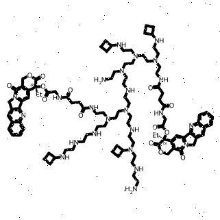 CC[C@]1(OC(=O)CNC(=O)CCC(=O)NCCN(CCNCCNCCNC2CCC2)CCN(CCNCCN(CCN)CCN(CCNC2CCC2)CCN(CCNC(=O)CCC(=O)NCC(=O)O[C@]2(CC)C(=O)OCc3c2cc2n(c3=O)Cc3cc4ccccc4nc3-2)CCNC2CCC2)CCNCCN(CCNCCN)C2CCC2)C(=O)OCc2c1cc1n(c2=O)Cc2cc3ccccc3nc2-1